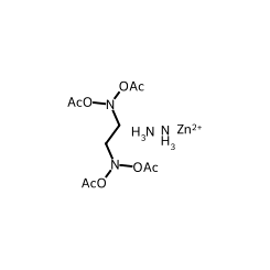 CC(=O)ON(CCN(OC(C)=O)OC(C)=O)OC(C)=O.N.N.[Zn+2]